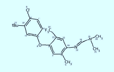 Cc1cc(Oc2ccc(Cl)c(C(C)(C)C)c2)c(C(F)(F)F)cc1N=CN(C)C